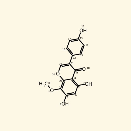 COc1c(O)cc(O)c2c(=O)c(-c3ccc(O)cc3)coc12